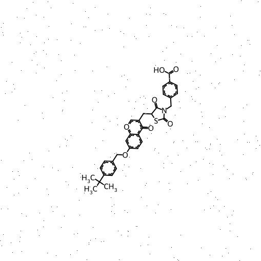 CC(C)(C)c1ccc(COc2ccc3c(=O)c(CC4SC(=O)N(Cc5ccc(C(=O)O)cc5)C4=O)coc3c2)cc1